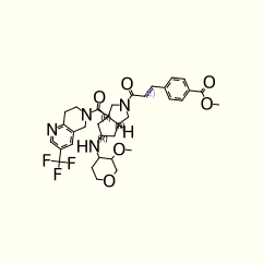 COC(=O)c1ccc(/C=C/C(=O)N2C[C@@H]3C[C@@H](NC4CCOCC4OC)C[C@]3(C(=O)N3CCc4ncc(C(F)(F)F)cc4C3)C2)cc1